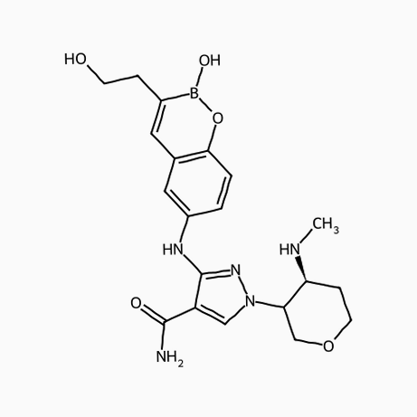 CN[C@H]1CCOCC1n1cc(C(N)=O)c(Nc2ccc3c(c2)C=C(CCO)B(O)O3)n1